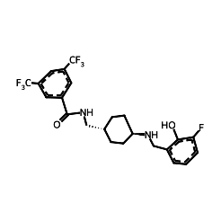 O=C(NC[C@H]1CC[C@H](NCc2cccc(F)c2O)CC1)c1cc(C(F)(F)F)cc(C(F)(F)F)c1